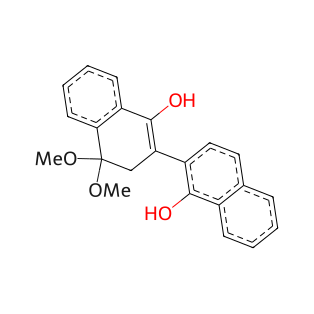 COC1(OC)CC(c2ccc3ccccc3c2O)=C(O)c2ccccc21